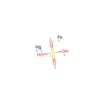 O=S(=O)(O)O.[Fe].[Hg]